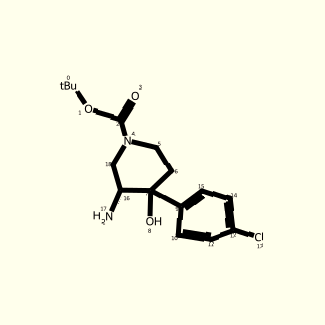 CC(C)(C)OC(=O)N1CCC(O)(c2ccc(Cl)cc2)C(N)C1